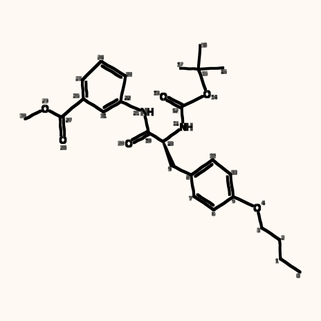 CCCCOc1ccc(C[C@H](NC(=O)OC(C)(C)C)C(=O)Nc2cccc(C(=O)OC)c2)cc1